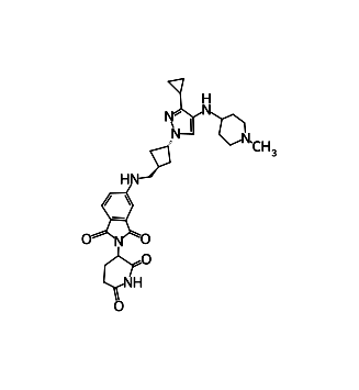 CN1CCC(Nc2cn([C@H]3C[C@H](CNc4ccc5c(c4)C(=O)N(C4CCC(=O)NC4=O)C5=O)C3)nc2C2CC2)CC1